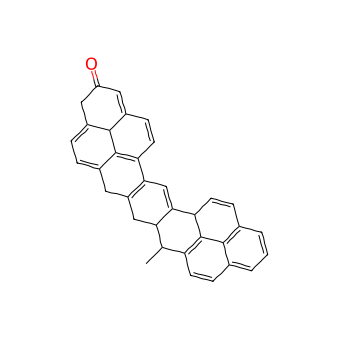 CC1c2ccc3cccc4c3c2C(C=C4)C2=CC3=C(CC4=CC=C5CC(=O)C=C6C=CC3=C4C65)CC21